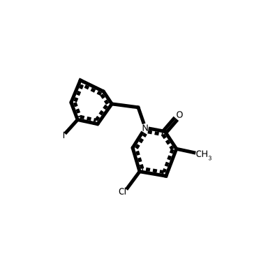 Cc1cc(Cl)cn(Cc2cccc(I)c2)c1=O